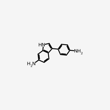 Nc1ccc(-c2c[nH]c3cc(N)ccc23)cc1